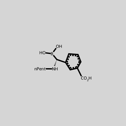 CCCCCN[C@H](B(O)O)c1cccc(C(=O)O)c1